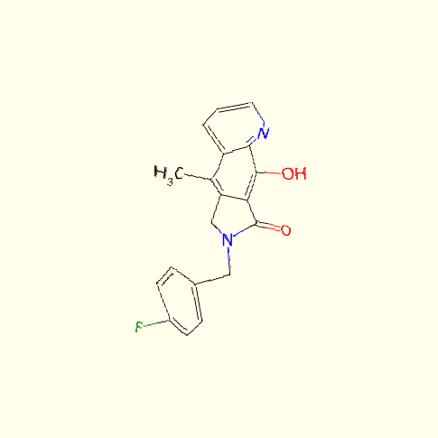 Cc1c2c(c(O)c3ncccc13)C(=O)N(Cc1ccc(F)cc1)C2